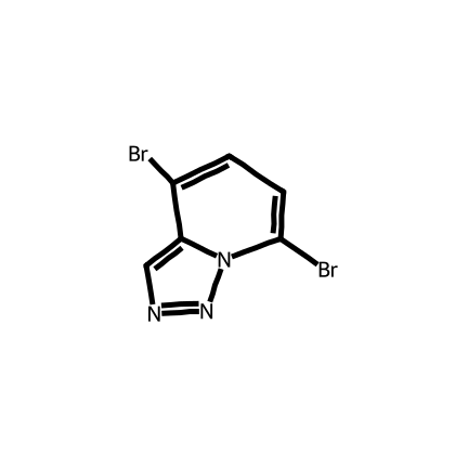 Brc1ccc(Br)n2nncc12